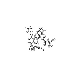 Cc1cccc(COc2ccccc2CN(CC[C@H](N)C(=O)O)Cc2ccc3sccc3c2OCc2cccc(C)c2)c1